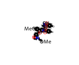 COCCCN1CCOc2ccc(CO[C@H]3CN(S(=O)(=O)c4ccc(C)cc4)[C@H](CC(C)N(C#N)S(=O)(=O)c4ccc(C)cc4)CC3c3ccc(OC)cc3)cc21